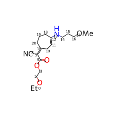 CCOCCOC(=O)/C(C#N)=C1\CC=C(NCCCOC)CCC1